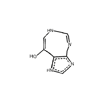 OC1=CNC=Nc2nc[nH]c21